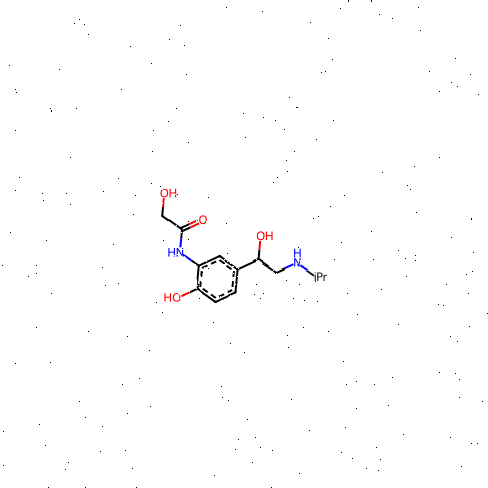 CC(C)NCC(O)c1ccc(O)c(NC(=O)CO)c1